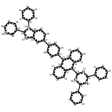 c1ccc(-c2nc(-c3ccccc3)nc(-c3c4ccccc4c(-c4ccc(-c5ccc6c(c5)nc(-c5cccnc5)n6-c5ccccc5)cc4)c4ccccc34)n2)cc1